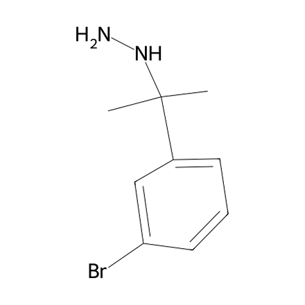 CC(C)(NN)c1cccc(Br)c1